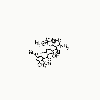 Cc1cc([N+]#N)c2c(c1O)C(=O)C1=C(O)[C@]3(O)C(=O)C(C(N)=O)=C(O)[C@@H](N(C)C)C3CC1C2